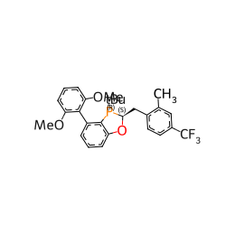 COc1cccc(OC)c1-c1cccc2c1[P@](C(C)(C)C)[C@@H](Cc1ccc(C(F)(F)F)cc1C)O2